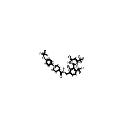 O=C(NCc1ccc(C(F)(F)F)c(-c2nc(C(F)(F)F)cc(=O)[nH]2)c1F)C1CCN(c2ccc(OC(F)(F)F)cc2)CC1